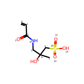 C=CC(=O)NCC(C)(O)CS(=O)(=O)O